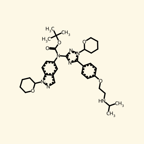 CC(C)NCCOc1ccc(-c2nc(N(C(=O)OC(C)(C)C)c3ccc4c(cnn4C4CCCCO4)c3)nn2C2CCCCO2)cc1